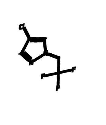 FC(F)(F)Cn1[c]c(Cl)[c]n1